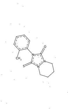 Cc1ccccc1-n1c(=O)n2n(c1=S)CCCC2